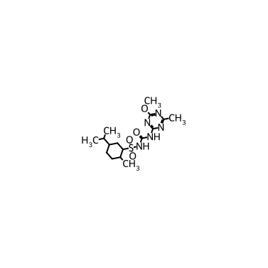 COc1nc(C)nc(NC(=O)NS(=O)(=O)C2CC(C(C)C)CCC2C)n1